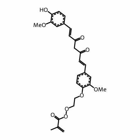 C=C(C)C(=O)OOCCOc1ccc(/C=C/C(=O)CC(=O)/C=C/c2ccc(O)c(OC)c2)cc1OC